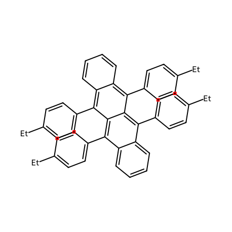 CCc1ccc(-c2c3ccccc3c(-c3ccc(CC)cc3)c3c(-c4ccc(CC)cc4)c4ccccc4c(-c4ccc(CC)cc4)c23)cc1